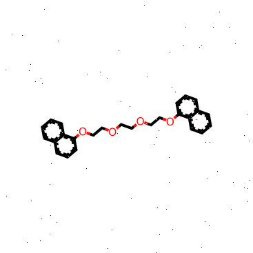 c1ccc2c(OCCOCCOCCOc3cccc4ccccc34)cccc2c1